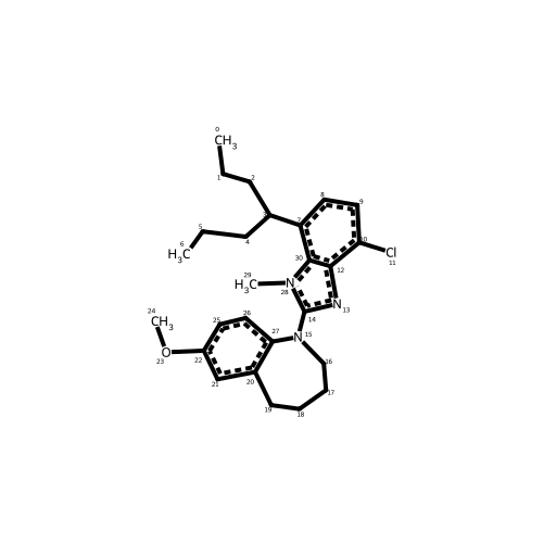 CCCC(CCC)c1ccc(Cl)c2nc(N3CCCCc4cc(OC)ccc43)n(C)c12